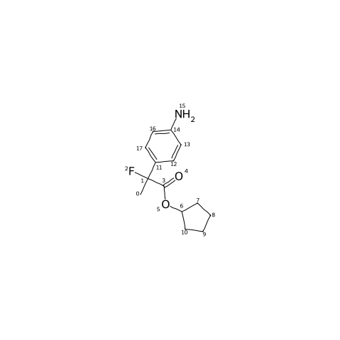 CC(F)(C(=O)OC1CCCC1)c1ccc(N)cc1